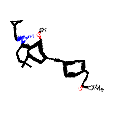 COC(=O)Cc1ccc(C#Cc2cc(OC(C)C)c3c(c2)C(C)(C)CCC3NCC2CC2)cc1